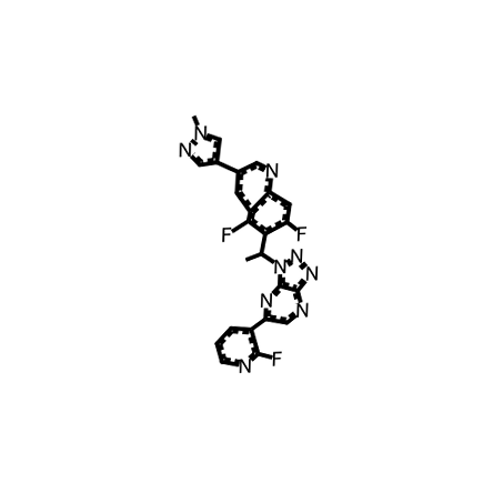 CC(c1c(F)cc2ncc(-c3cnn(C)c3)cc2c1F)n1nnc2ncc(-c3cccnc3F)nc21